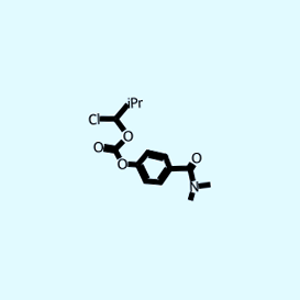 CC(C)C(Cl)OC(=O)Oc1ccc(C(=O)N(C)C)cc1